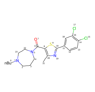 CCCCN1CCCN(C(=O)c2sc(-c3ccc(Cl)c(Cl)c3)nc2C)CC1